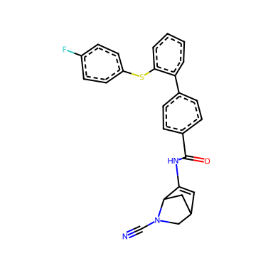 N#CN1CC2C=C(NC(=O)c3ccc(-c4ccccc4Sc4ccc(F)cc4)cc3)C1C2